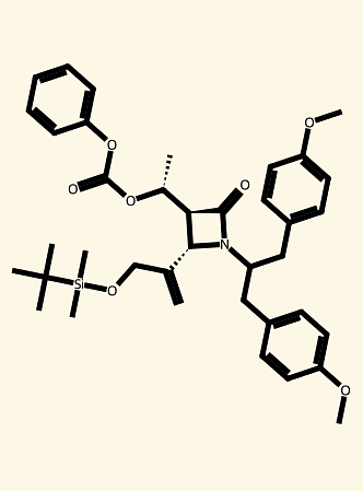 C=C(CO[Si](C)(C)C(C)(C)C)[C@@H]1[C@@H]([C@@H](C)OC(=O)Oc2ccccc2)C(=O)N1C(Cc1ccc(OC)cc1)Cc1ccc(OC)cc1